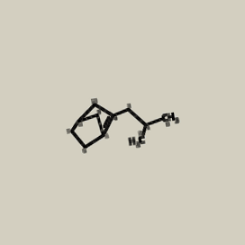 CC(C)CC1=C2CCC(C2)C1